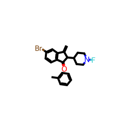 C=C1c2cc(Br)ccc2C(=O)C1C1CCN(F)CC1.Cc1ccccc1